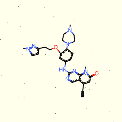 C#Cc1cc(=O)n(C)c2nc(Nc3ccc(N4CCN(C)CC4)c(OCCc4ccn(C)n4)c3)ncc12